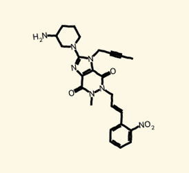 CC#CCn1c(N2CCCC(N)C2)nc2c(=O)n(C)n(C/C=C/c3ccccc3[N+](=O)[O-])c(=O)c21